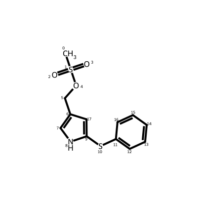 CS(=O)(=O)OCc1c[nH]c(Sc2ccccc2)c1